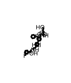 Cl.O=C(NS(=O)(=O)CCCO)c1ccc(-c2ccc(CCNC[C@@H](O)c3cccc(F)c3)cc2)cc1OC1CCCCC1